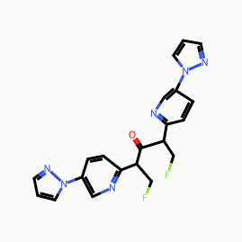 O=C(C(CF)c1ccc(-n2cccn2)cn1)C(CF)c1ccc(-n2cccn2)cn1